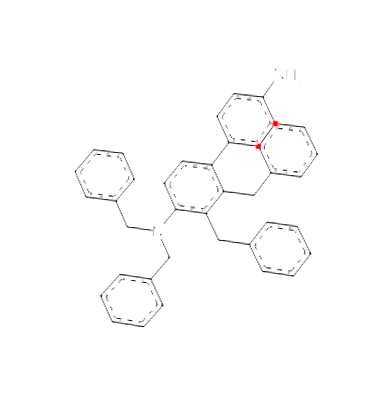 Nc1ccc(-c2ccc(N(Cc3ccccc3)Cc3ccccc3)c(Cc3ccccc3)c2Cc2ccccc2)cc1